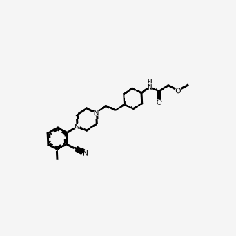 COCC(=O)NC1CCC(CCN2CCN(c3cccc(C)c3C#N)CC2)CC1